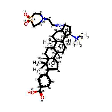 CN(C)[C@@H]1CC[C@]2(NCCN3CCS(=O)(=O)CC3)CC[C@]3(C)[C@H](CC[C@@H]4[C@@]5(C)CC=C(c6ccc(C(=O)O)cc6)C(C)(C)[C@@H]5CC[C@]43C)[C@@H]12